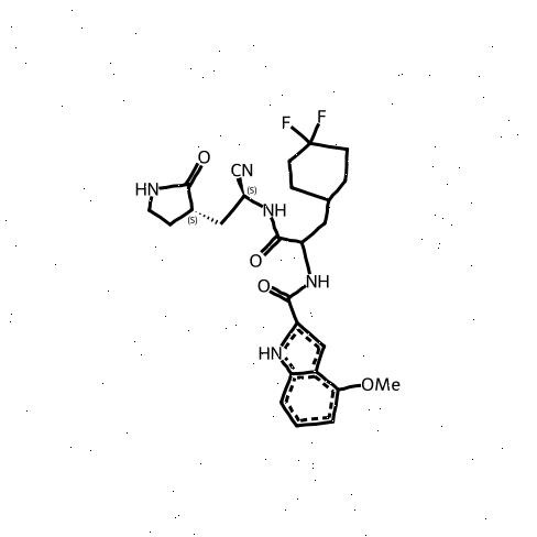 COc1cccc2[nH]c(C(=O)NC(CC3CCC(F)(F)CC3)C(=O)N[C@H](C#N)C[C@@H]3CCNC3=O)cc12